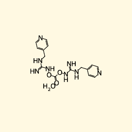 N=C(NCc1ccncc1)NOC(=O)ONC(=N)NCc1ccncc1.O